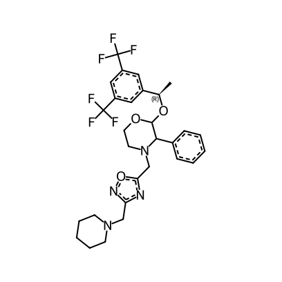 C[C@@H](OC1OCCN(Cc2nc(CN3CCCCC3)no2)C1c1ccccc1)c1cc(C(F)(F)F)cc(C(F)(F)F)c1